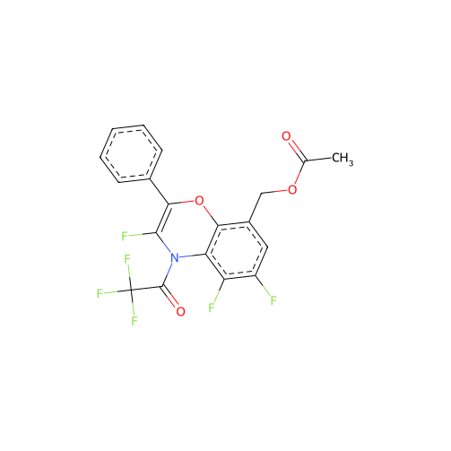 CC(=O)OCc1cc(F)c(F)c2c1OC(c1ccccc1)=C(F)N2C(=O)C(F)(F)F